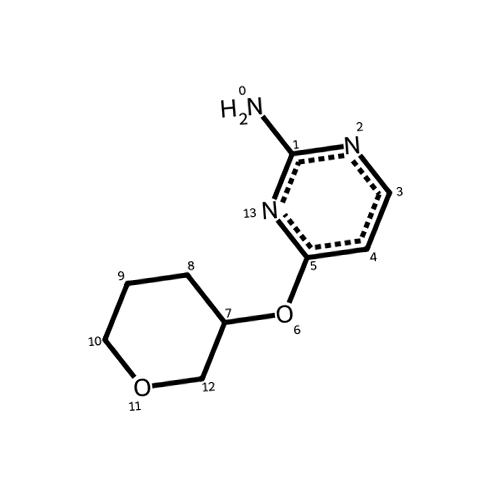 Nc1nccc(OC2CCCOC2)n1